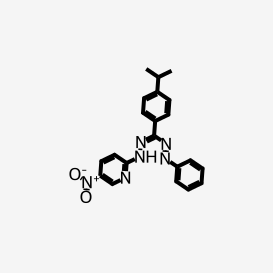 CC(C)c1ccc(C(N=Nc2ccccc2)=NNc2ccc([N+](=O)[O-])cn2)cc1